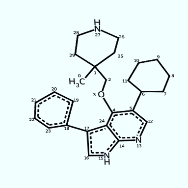 CC1(COc2c(C3CCCCC3)cnc3[nH]cc(-c4ccccc4)c23)CCNCC1